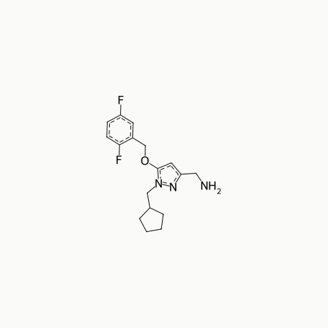 NCc1cc(OCc2cc(F)ccc2F)n(CC2CCCC2)n1